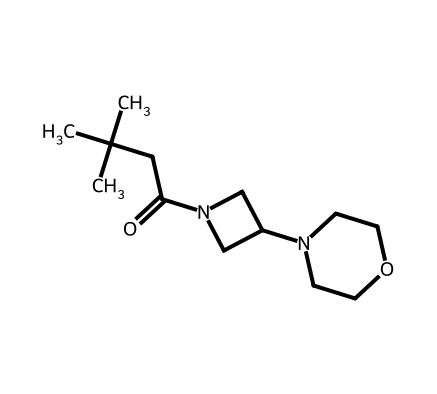 CC(C)(C)CC(=O)N1CC(N2CCOCC2)C1